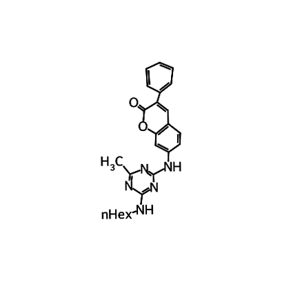 CCCCCCNc1nc(C)nc(Nc2ccc3cc(-c4ccccc4)c(=O)oc3c2)n1